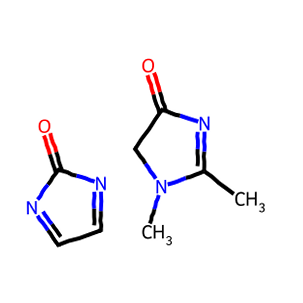 CC1=NC(=O)CN1C.O=C1N=CC=N1